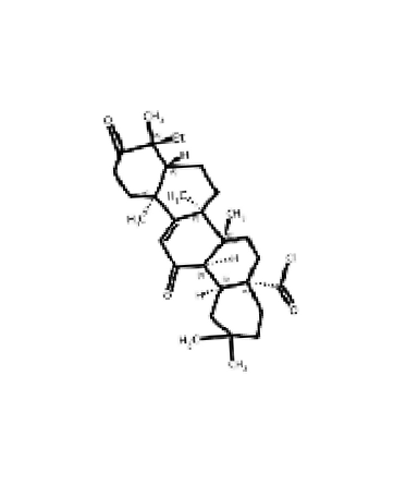 CC[C@]1(C)C(=O)CC[C@]2(C)C3=CC(=O)[C@@H]4[C@@H]5CC(C)(C)CC[C@]5(C(=O)Cl)CC[C@@]4(C)[C@]3(C)CC[C@@H]12